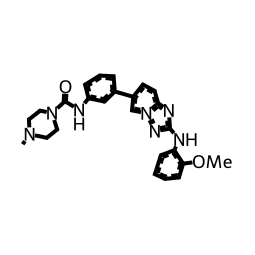 COc1ccccc1Nc1nc2ccc(-c3cccc(NC(=O)N4CCN(C)CC4)c3)cn2n1